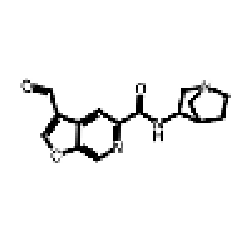 O=Cc1coc2cnc(C(=O)NC3CN4CCC3C4)cc12